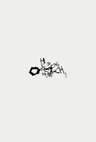 CN([SiH](C)C)[Si](C)(C)c1ccccc1